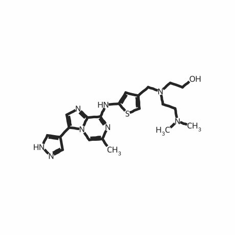 Cc1cn2c(-c3cn[nH]c3)cnc2c(Nc2cc(CN(CCO)CCN(C)C)cs2)n1